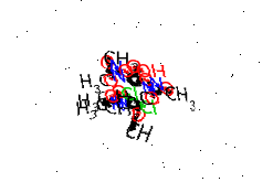 C#CCOc1cc(-n2nc(C(C)(C)C)oc2=O)c(Cl)cc1Cl.COc1cc(OC)nc(Oc2cccc(Oc3nc(OC)cc(OC)n3)c2C(=O)O)n1